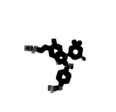 Cc1cc2c(cc1CCC(=O)O)nc(Nc1ccc(OC(F)(F)F)cc1)n2[C@H]1C[C@@H](C)CC(C)(C)C1